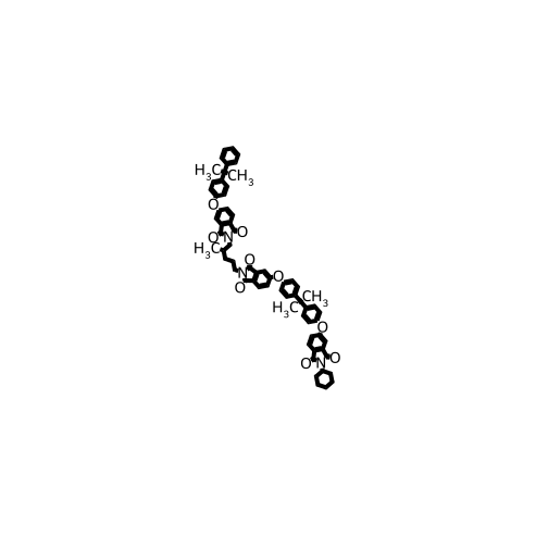 CC(CCCN1C(=O)c2ccc(Oc3ccc(C(C)(C)c4ccc(Oc5ccc6c(c5)C(=O)N(C5CCCCC5)C6=O)cc4)cc3)cc2C1=O)CN1C(=O)c2ccc(Oc3ccc(C(C)(C)c4ccccc4)cc3)cc2C1=O